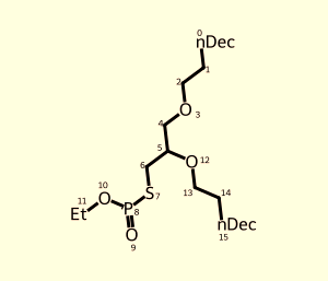 CCCCCCCCCCCCOCC(CS[P](=O)OCC)OCCCCCCCCCCCC